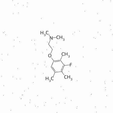 Cc1cc(OCCN(C)C)c(C)c(F)c1C